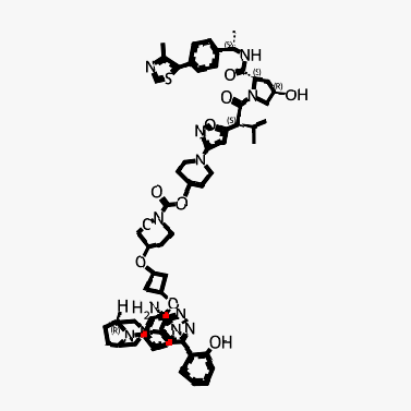 Cc1ncsc1-c1ccc([C@H](C)NC(=O)[C@@H]2C[C@@H](O)CN2C(=O)[C@H](c2cc(N3CCC(OC(=O)N4CCC(OC5CC(Oc6cc(N7C8CC[C@@H]7CN(c7cc(-c9ccccc9O)nnc7N)C8)ccn6)C5)CC4)CC3)no2)C(C)C)cc1